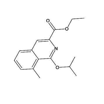 CCOC(=O)c1cc2cccc(C)c2c(OC(C)C)n1